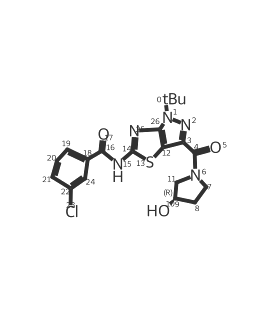 CC(C)(C)n1nc(C(=O)N2CC[C@@H](O)C2)c2sc(NC(=O)c3cccc(Cl)c3)nc21